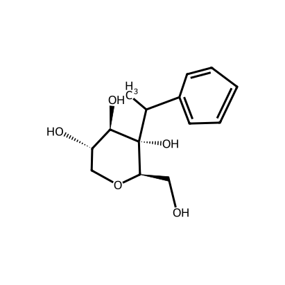 CC(c1ccccc1)[C@]1(O)[C@H](O)[C@@H](O)CO[C@@H]1CO